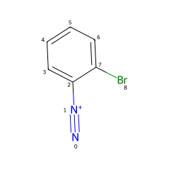 N#[N+]c1ccccc1Br